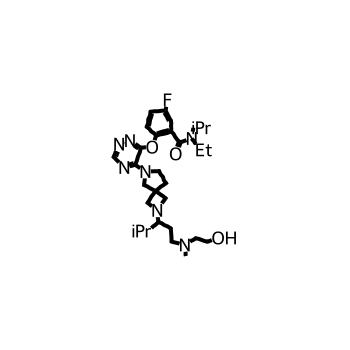 CCN(C(=O)c1cc(F)ccc1Oc1nncnc1N1CCC2(C1)CN(C(CCN(C)CCO)C(C)C)C2)C(C)C